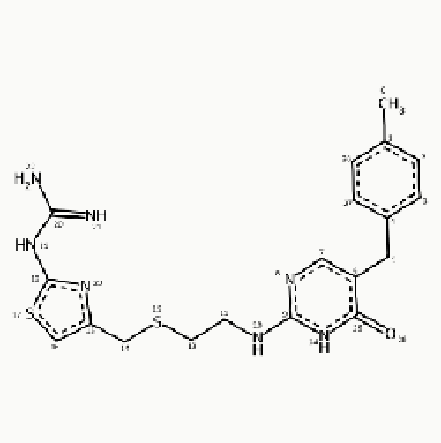 Cc1ccc(Cc2cnc(NCCSCc3csc(NC(=N)N)n3)[nH]c2=O)cc1